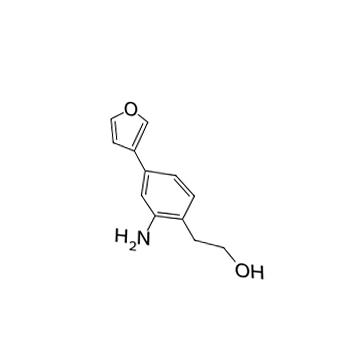 Nc1cc(-c2ccoc2)ccc1CCO